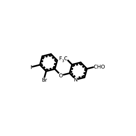 O=Cc1cnc(Oc2cccc(I)c2Br)c(C(F)(F)F)c1